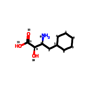 N[C@@H](CC1CCCCC1)[C@@H](O)C(=O)O